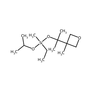 CC[Si](C)(OC(C)C)OC(C)(C)C1(C)COC1